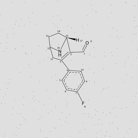 O=CC1=C(c2ccc(F)cc2)CC2CC[C@H]1N2